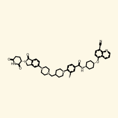 N#Cc1ccc(O[C@H]2CC[C@H](NC(=O)c3ccc(N4CCC(CN5CCN(c6ccc7c(c6)CN([C@H]6CCC(=O)NC6=O)C7=O)CC5)CC4)c(F)c3)CC2)c2cccnc12